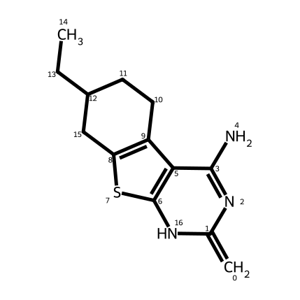 C=C1N=C(N)c2c(sc3c2CCC(CC)C3)N1